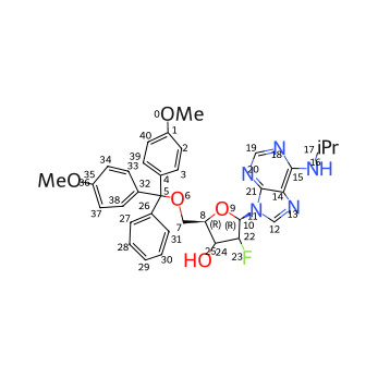 COc1ccc(C(OC[C@H]2O[C@@H](n3cnc4c(NC(C)C)ncnc43)C(F)C2O)(c2ccccc2)c2ccc(OC)cc2)cc1